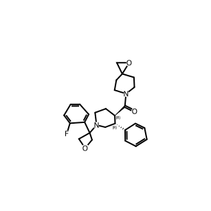 O=C([C@@H]1CCN(C2(c3ccccc3F)COC2)C[C@H]1c1ccccc1)N1CCC2(CC1)CO2